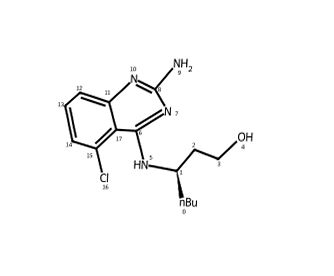 CCCC[C@H](CCO)Nc1nc(N)nc2cccc(Cl)c12